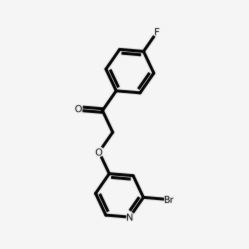 O=C(COc1ccnc(Br)c1)c1ccc(F)cc1